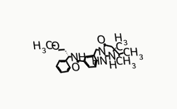 COCC[C@H](NC(=O)c1cccc(CN2C(=N)N[C@](C)(C(C)C)CC2=O)c1)c1ccccc1